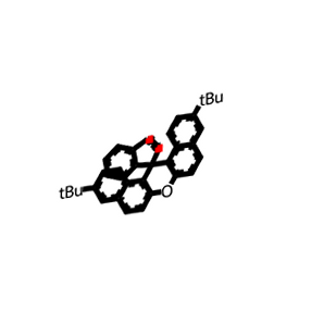 CC(C)(C)c1ccc2c3c(ccc2c1)Oc1ccc2cc(C(C)(C)C)ccc2c1C31c2ccccc2-c2ccccc21